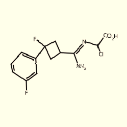 NC(=NC(Cl)C(=O)O)C1CC(F)(c2cccc(F)c2)C1